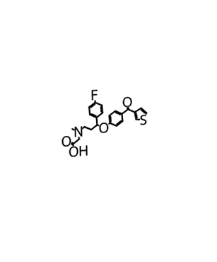 CN(CCC(Oc1ccc(C(=O)c2ccsc2)cc1)c1ccc(F)cc1)CC(=O)O